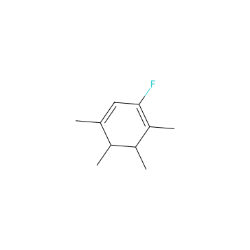 CC1=CC(F)=C(C)C(C)C1C